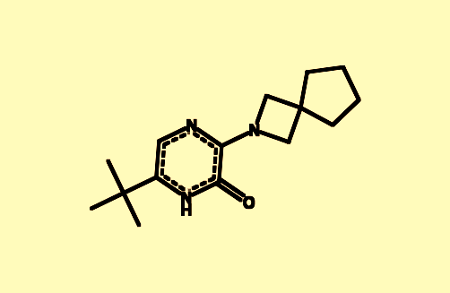 CC(C)(C)c1cnc(N2CC3(CCCC3)C2)c(=O)[nH]1